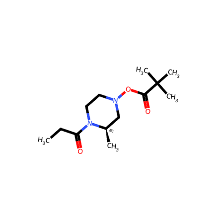 CCC(=O)N1CCN(OC(=O)C(C)(C)C)C[C@H]1C